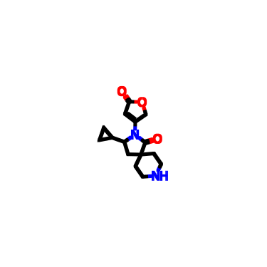 O=C1C=C(N2C(=O)C3(CCNCC3)CC2C2CC2)CO1